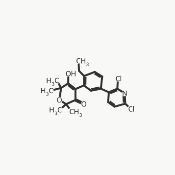 CCc1ccc(-c2ccc(Cl)nc2Cl)cc1C1=C(O)C(C)(C)OC(C)(C)C1=O